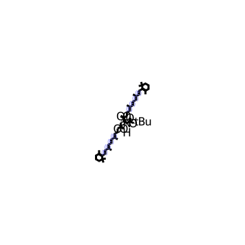 CC1=C(/C=C/C(C)=C/C=C/C(C)=C/COC(=O)C[C@H](NC(=O)OC(C)(C)C)C(=O)OC/C=C(C)/C=C/C=C(C)/C=C/C2=C(C)CCCC2(C)C)C(C)(C)CCC1